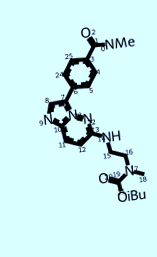 CNC(=O)c1ccc(-c2cnc3ccc(NCCN(C)C(=O)OCC(C)C)nn23)cc1